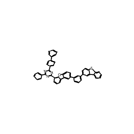 c1ccc(-c2ccc(-c3nc(-c4ccccc4)nc(-c4cccc5c4oc4ccc(-c6cccc(-c7ccc8sc9ccccc9c8c7)c6)cc45)n3)cc2)cc1